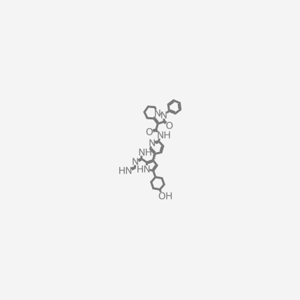 N=C/N=C(/N)c1[nH]c(C2CCC(O)CC2)cc1-c1ccc(NC(=O)c2c3n(n(-c4ccccc4)c2=O)CCCC3)nc1